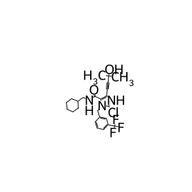 CC(C)(O)C#CC1=C(C(=O)NCC2CCCCC2)N(Cc2cccc(C(F)(F)F)c2)C(Cl)N1